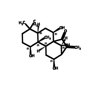 C=C1C(=O)C23[C@H](O)C[C@@H]4C(C)(C)CC[C@H](O)[C@@]4(C)[C@@H]2C[C@H](O)C1[C@@H]3O